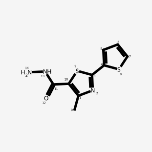 Cc1nc(-c2cccs2)sc1C(=O)NN